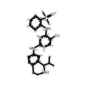 CC(C)C1NCCc2ccc(Nc3ncc(Cl)c(Nc4ccccc4P(C)(C)=O)n3)cc21